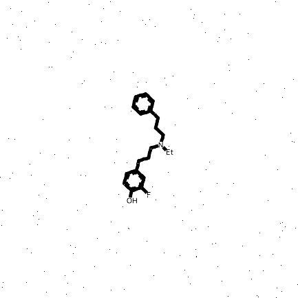 CCN(CCCc1ccccc1)CCCc1ccc(O)c(F)c1